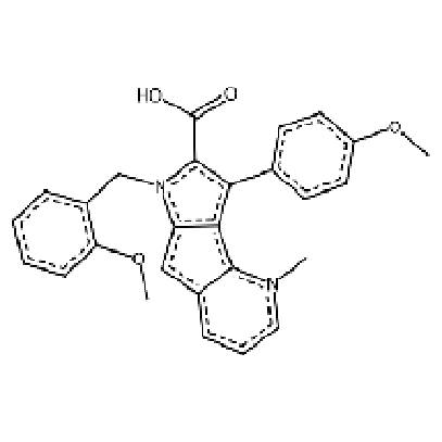 COc1ccc(-c2c(C(=O)O)n(Cc3ccccc3OC)c3cc4cccn(C)c-4c23)cc1